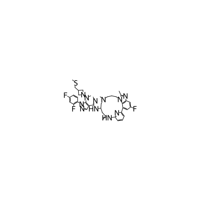 C/N=C(/NC1CC(C)Nc2cccc(n2)-c2cc(F)cc3nc(C)n(c23)CCCN(C)C1)c1cnn(-c2ccc(F)cc2F)c1N(C)N1CC(CSC)C1